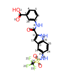 O=C(O)c1cccc(NC(=O)c2cc3cc(NS(=O)(=O)C(F)(F)F)ccc3[nH]2)c1